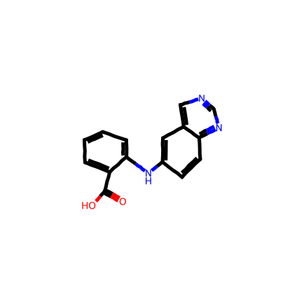 O=C(O)c1ccccc1Nc1ccc2ncncc2c1